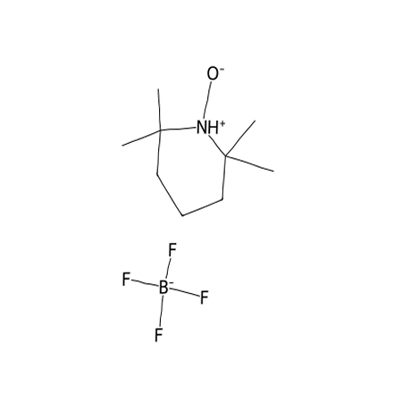 CC1(C)CCCC(C)(C)[NH+]1[O-].F[B-](F)(F)F